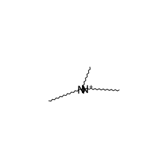 CCCCCCCCCCCCCCCCCn1cc[n+](CCCCCCCCCCCCCCCCC)c1CCCCCCCCCCC